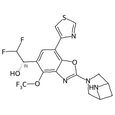 O[C@@H](c1cc(-c2cscn2)c2oc(N3CC4CC(C3)N4)nc2c1OC(F)(F)F)C(F)F